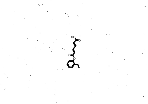 CCc1ccccc1OC(=O)C=CC=CC(=O)O